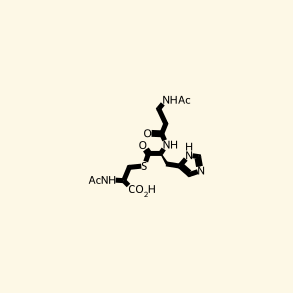 CC(=O)NCCC(=O)N[C@@H](Cc1cnc[nH]1)C(=O)SCC(NC(C)=O)C(=O)O